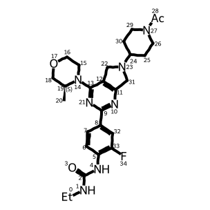 CCNC(=O)Nc1ccc(-c2nc3c(c(N4CCOC[C@@H]4C)n2)CN(C2CCN(C(C)=O)CC2)C3)cc1F